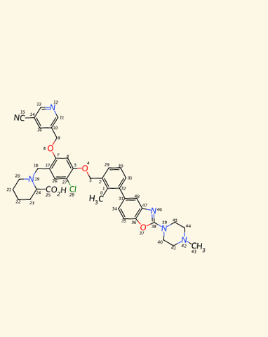 Cc1c(COc2cc(OCc3cncc(C#N)c3)c(CN3CCCCC3C(=O)O)cc2Cl)cccc1-c1ccc2oc(N3CCN(C)CC3)nc2c1